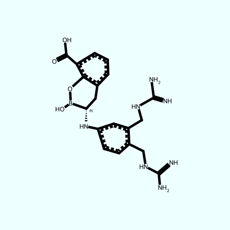 N=C(N)NCc1ccc(N[C@H]2Cc3cccc(C(=O)O)c3OB2O)cc1CNC(=N)N